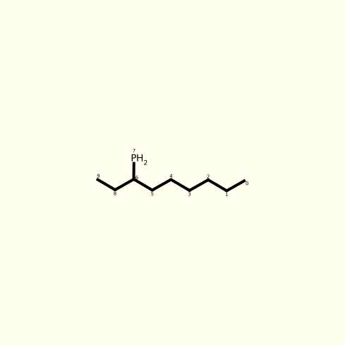 CCCCCCC(P)CC